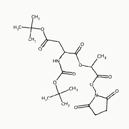 CC(OC(=O)C(CC(=O)OC(C)(C)C)NC(=O)OC(C)(C)C)C(=O)ON1C(=O)CCC1=O